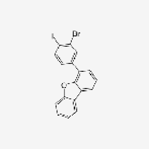 Brc1cc(-c2cccc3c2oc2ccccc23)ccc1I